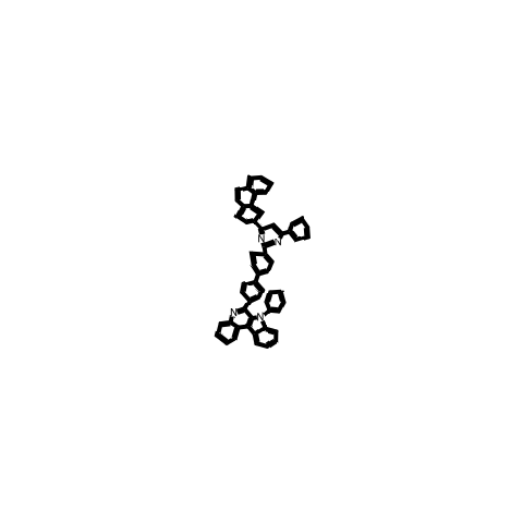 c1ccc(-c2cc(-c3ccc4ccc5ccccc5c4c3)nc(-c3ccc(-c4ccc(-c5nc6ccccc6c6c7ccccc7n(-c7ccccc7)c56)cc4)cc3)n2)cc1